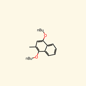 CCCCOc1cc(C)c(OCCCC)c2ccccc12